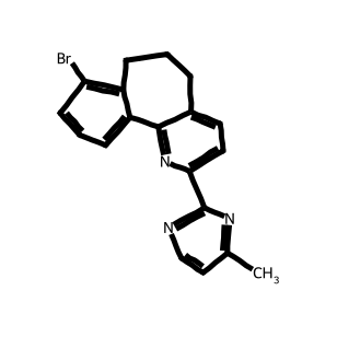 Cc1ccnc(-c2ccc3c(n2)-c2cccc(Br)c2CCC3)n1